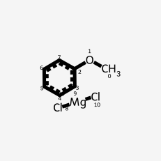 COc1c[c]ccc1.[Cl][Mg][Cl]